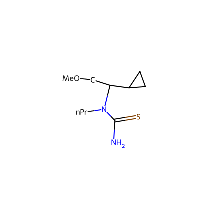 CCCN(C(N)=S)C(COC)C1CC1